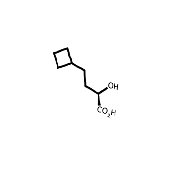 O=C(O)[C@H](O)CCC1CCC1